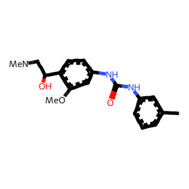 CNCC(O)c1ccc(NC(=O)Nc2cccc(C)c2)cc1OC